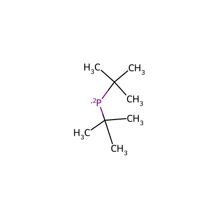 CC(C)(C)[2P]C(C)(C)C